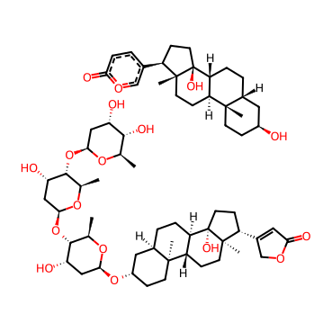 C[C@H]1O[C@@H](O[C@H]2[C@@H](O)C[C@H](O[C@H]3[C@@H](O)C[C@H](O[C@H]4CC[C@@]5(C)[C@H](CC[C@@H]6[C@@H]5CC[C@]5(C)[C@@H](C7=CC(=O)OC7)CC[C@]65O)C4)O[C@@H]3C)O[C@@H]2C)C[C@H](O)[C@@H]1O.C[C@]12CC[C@H](O)C[C@H]1CC[C@@H]1[C@@H]2CC[C@]2(C)[C@@H](c3ccc(=O)oc3)CC[C@]12O